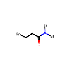 CCN(CC)C(=O)CCC(C)C